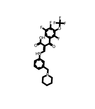 O=C(O)C(=CNc1cccc(CN2CCCCC2)c1)C(=O)c1cc(F)c(F)c(OC(F)(F)F)c1F